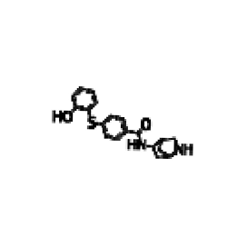 O=C(NC1CC2CC1CN2)c1ccc(Sc2ccccc2O)cc1